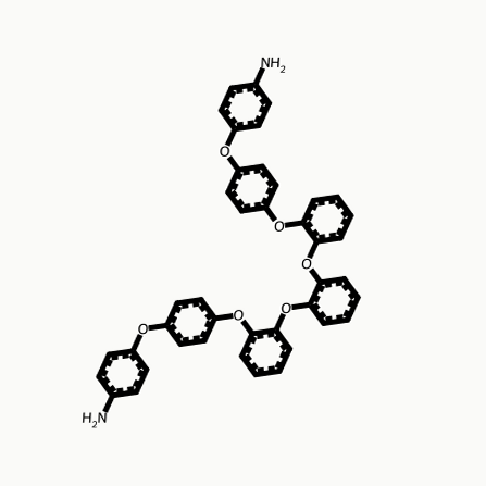 Nc1ccc(Oc2ccc(Oc3ccccc3Oc3ccccc3Oc3ccccc3Oc3ccc(Oc4ccc(N)cc4)cc3)cc2)cc1